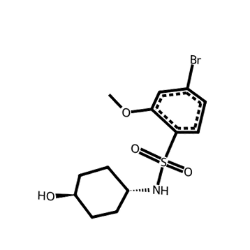 COc1cc(Br)ccc1S(=O)(=O)N[C@H]1CC[C@H](O)CC1